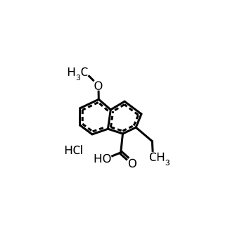 CCc1ccc2c(OC)cccc2c1C(=O)O.Cl